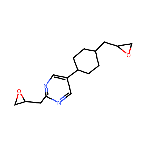 c1nc(CC2CO2)ncc1C1CCC(CC2CO2)CC1